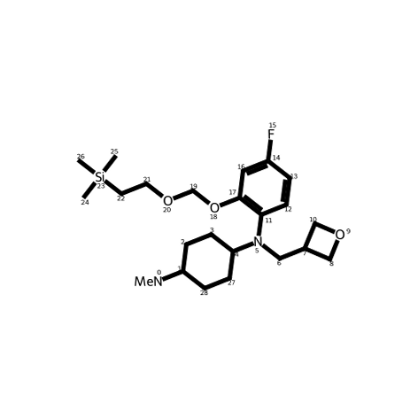 CNC1CCC(N(CC2COC2)c2ccc(F)cc2OCOCC[Si](C)(C)C)CC1